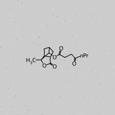 CCCC(=O)CCC(=O)OC1C2CC3C(=O)OC1(C)C3C2